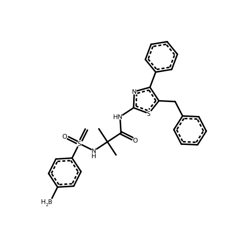 Bc1ccc(S(=C)(=O)NC(C)(C)C(=O)Nc2nc(-c3ccccc3)c(Cc3ccccc3)s2)cc1